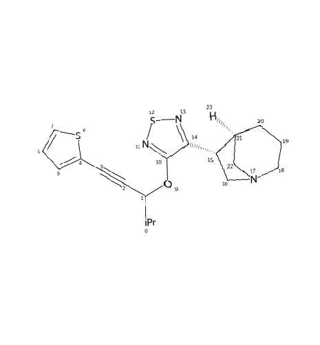 CC(C)C(C#Cc1cccs1)Oc1nsnc1[C@H]1CN2CCC[C@H]1C2